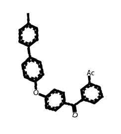 CC(=O)c1cccc(C(=O)c2ccc(Oc3ccc(-c4ccc(C)cc4)cc3)cc2)c1